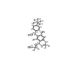 CC(C)c1nc2c(c(I)c1[C@H](O)c1ccc(S(F)(F)(F)(F)F)cc1)C(OC(C)(C)C(C)(C)C)CC(C)(C)C2